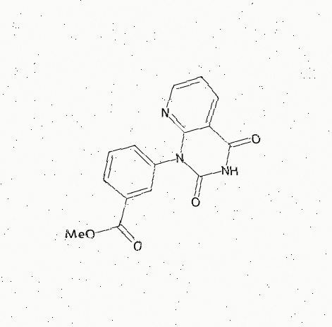 COC(=O)c1cccc(-n2c(=O)[nH]c(=O)c3cccnc32)c1